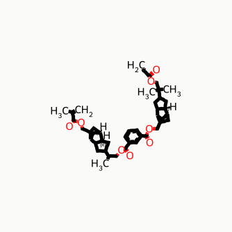 C=CC(=O)OCC(C)(C)C1CC2C3CC(CC3COC(=O)c3cccc(C(=O)OCC(C)C4CC5C6C[C@@H](CC6COC(=O)C(=C)C)[C@H]5C4)c3)[C@H]2C1